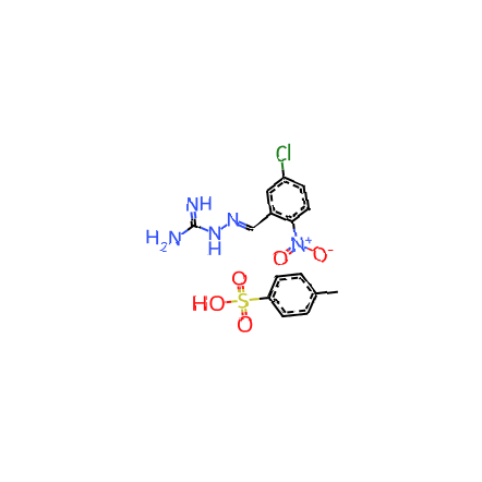 Cc1ccc(S(=O)(=O)O)cc1.N=C(N)NN=Cc1cc(Cl)ccc1[N+](=O)[O-]